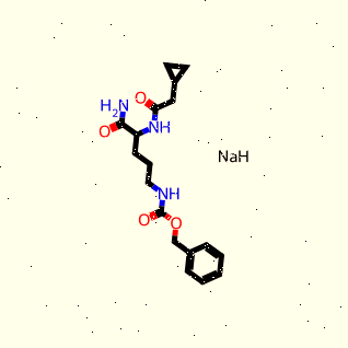 NC(=O)C(CCCNC(=O)OCc1ccccc1)NC(=O)CC1CC1.[NaH]